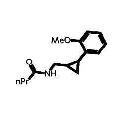 CCCC(=O)NCC1CC1c1ccccc1OC